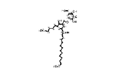 CCCCCCCCCCCCCCCCCCCCCC[C@@H](O)C(=O)NC(CO[C@@H]1O[C@H](CO)[C@H](O)[C@H](O)[C@H]1O)C(O)CCCCCCCCCCCCCCC